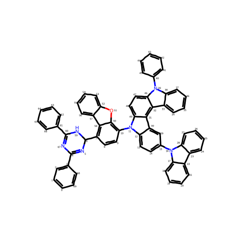 c1ccc(C2=NC(c3ccc(-n4c5ccc(-n6c7ccccc7c7ccccc76)cc5c5c6c7ccccc7n(-c7ccccc7)c6ccc54)c4oc5ccccc5c34)NC(c3ccccc3)=N2)cc1